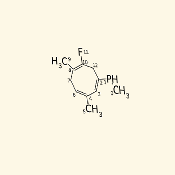 CP/C1=C/C(C)=C\C/C(C)=C(/F)C1